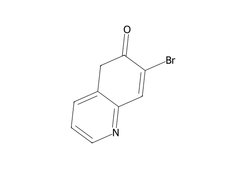 O=C1Cc2cccnc2C=C1Br